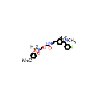 COc1ccc(S(=O)(=O)N(C)CCOCC(=O)NCCC2CCC(C(c3cccc(F)c3)N(C)C)CC2)cc1